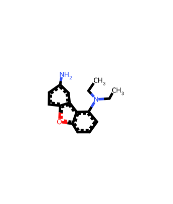 CCN(CC)c1cccc2oc3ccc(N)cc3c12